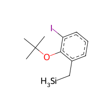 CC(C)(C)Oc1c(I)cccc1C[SiH3]